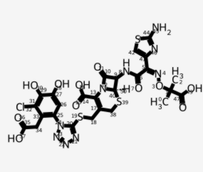 CC(C)(O/N=C(\C(=O)NC1C(=O)N2C(C(=O)O)=C(CSc3nnnn3-c3cc(O)c(O)c(Cl)c3CC(=O)O)CS[C@H]12)c1csc(N)n1)C(=O)O